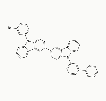 Brc1cccc(-n2c3ccccc3c3cc(-c4ccc5c(c4)c4ccccc4n5-c4cccc(-c5ccccc5)c4)ccc32)c1